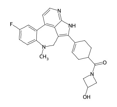 CN1Cc2c(C3=CCC(C(=O)N4CC(O)C4)CC3)[nH]c3nccc(c23)-c2cc(F)ccc21